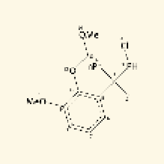 CCCC(C)(PCl)c1cccc(OC)c1OCOC